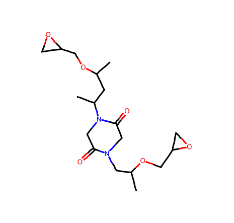 CC(CC(C)N1CC(=O)N(CC(C)OCC2CO2)CC1=O)OCC1CO1